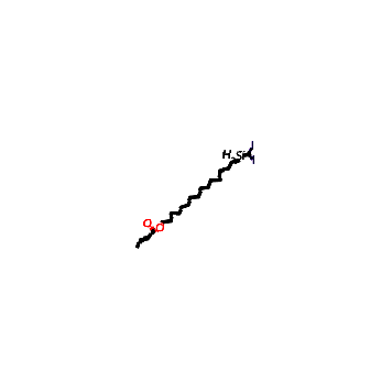 CC=CC(=O)OCCCCCCCCCCCCCCCC[SiH2]C(I)I